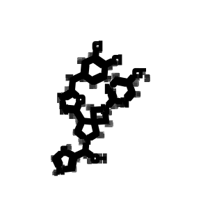 OC(c1cncs1)N1CC(c2nnc(Cc3ccc(Cl)c(Cl)c3)o2)C2(CN(c3ncc(C(F)(F)F)cn3)C2)C1